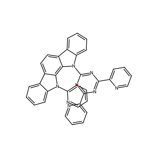 c1ccc(-c2nc(-c3ccccn3)nc(-n3c4ccccc4c4ccc5c6ccccc6n(-c6ccccn6)c5c43)n2)nc1